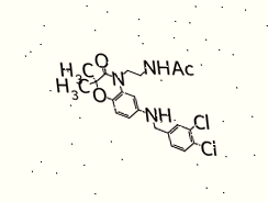 CC(=O)NCCN1C(=O)C(C)(C)Oc2ccc(NCc3ccc(Cl)c(Cl)c3)cc21